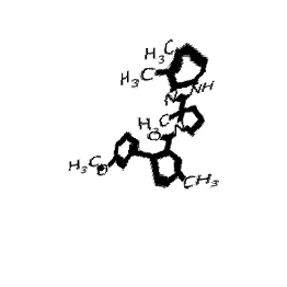 COc1cccc(-c2ccc(C)cc2C(=O)N2CCCC2(C)c2nc3c(C)c(C)ccc3[nH]2)c1